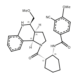 COC[C@@H]1Nc2ccccc2[C@H]2[C@@H]1CCN2C(=O)[C@H]1CCCC[C@H]1NC(=O)c1ccc(OC)c(C#N)c1